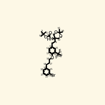 CC(C)(C)OC(=O)NC1(CCc2ccc(OCCCc3cccc(Br)c3)c(C(F)(F)F)c2)COC(C)(C)OC1